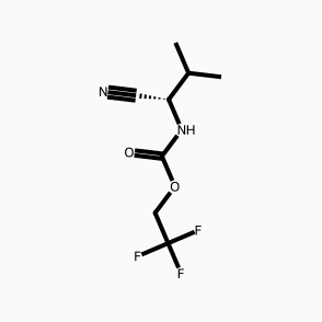 CC(C)[C@@H](C#N)NC(=O)OCC(F)(F)F